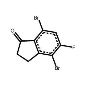 O=C1CCc2c(Br)c(F)cc(Br)c21